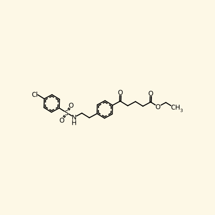 CCOC(=O)CCCC(=O)c1ccc(CCNS(=O)(=O)c2ccc(Cl)cc2)cc1